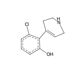 Oc1cccc(Cl)c1C1=CCNCC1